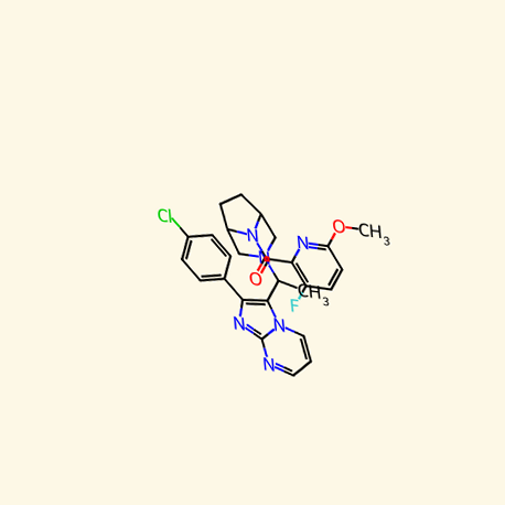 COc1ccc(F)c(C(=O)N2C3CCC2CN(C(C)c2c(-c4ccc(Cl)cc4)nc4ncccn24)C3)n1